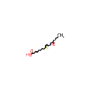 CCCCCC(=O)/C=C/c1ccc(CCCCCCCC(=O)O)s1